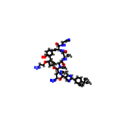 Cc1nc(-c2ccc(C(C)(C)C)cc2)ncc1C(=O)N[C@@H](CCN)C(=O)N(C)[C@@H]1C(=O)N[C@@H](C)C(=O)N[C@H](C(=O)NCC#N)Cc2ccc(O)c(c2)-c2cc1ccc2OCCN